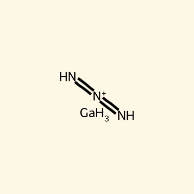 N=[N+]=N.[GaH3]